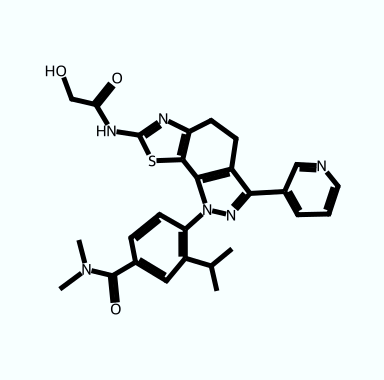 CC(C)c1cc(C(=O)N(C)C)ccc1-n1nc(-c2cccnc2)c2c1-c1sc(NC(=O)CO)nc1CC2